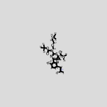 C/C(F)=C/c1ccc(F)c([C@@]2(C)N=C(N(COCC[Si](C)(C)C)C(=O)OC(C)(C)C)S[C@@]3(C(=O)N(C)C)C[C@H]32)c1